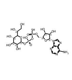 Nc1ncnc2c1ncn2[C@@H]1O[C@H](COP(=O)(S)OP(=O)(O)O[C@@H]2OC([C@H](O)CO)[C@@H](O)[C@H](O)[C@@H]2O)[C@@H](O)[C@H]1O